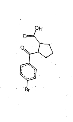 O=C(O)C1CCCC1C(=O)c1ccc(Br)cc1